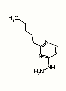 CCCCCc1nccc(NN)n1